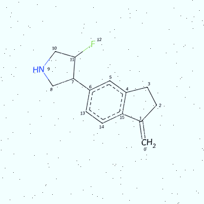 C=C1CCc2cc(C3CNCC3F)ccc21